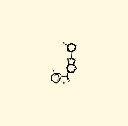 O=C(c1ccc2oc(-c3cccc(F)c3)nc2c1)N1C[C@@H]2CCC[C@H]1C2